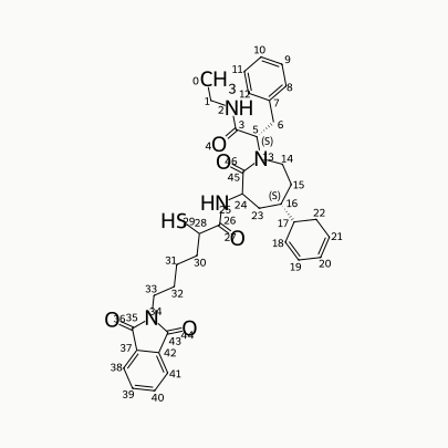 CCNC(=O)[C@H](Cc1ccccc1)N1CC[C@H](C2C=CC=CC2)CC(NC(=O)C(S)CCCCN2C(=O)c3ccccc3C2=O)C1=O